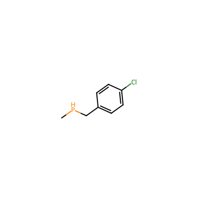 CPCc1ccc(Cl)cc1